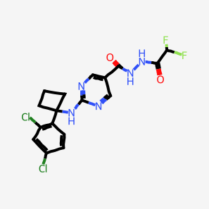 O=C(NNC(=O)C(F)F)c1cnc(NC2(c3ccc(Cl)cc3Cl)CCC2)nc1